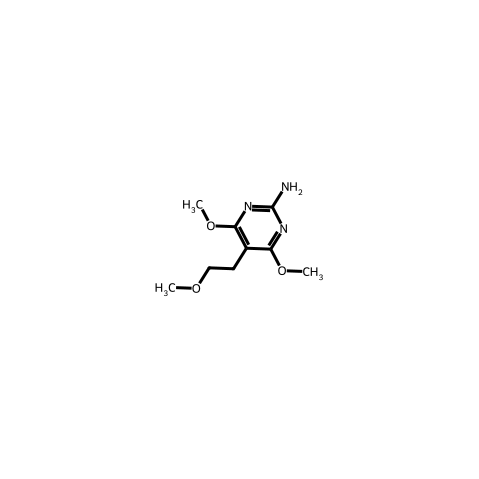 COCCc1c(OC)nc(N)nc1OC